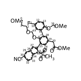 COCCOCOc1c(-c2cc(F)ccc2OCOC)cc(CC(=O)OC)cc1-c1cc2cc(C#N)ccc2n1S(C)(=O)=O